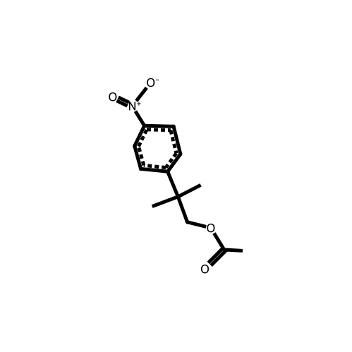 CC(=O)OCC(C)(C)c1ccc([N+](=O)[O-])cc1